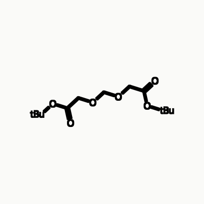 CC(C)(C)OC(=O)COCOCC(=O)OC(C)(C)C